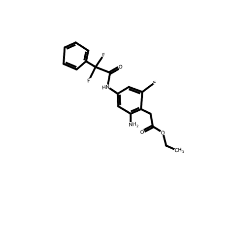 CCOC(=O)Cc1c(N)cc(NC(=O)C(F)(F)c2ccccc2)cc1F